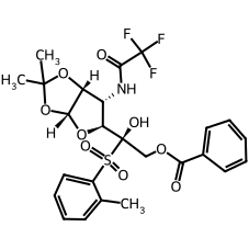 Cc1ccccc1S(=O)(=O)[C@@](O)(COC(=O)c1ccccc1)[C@H]1O[C@@H]2OC(C)(C)O[C@@H]2[C@@H]1NC(=O)C(F)(F)F